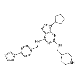 c1cc(-c2ccc(CNc3nc(NCC4CCNCC4)nc4c3ncn4C3CCCC3)cc2)cs1